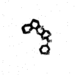 FC(F)(F)c1cnc(N[C@H]2CCCNC2)nc1Oc1cccc2cccnc12